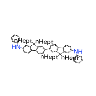 CCCCCCCC1(CCCCCCC)c2cc(Nc3ccccc3)ccc2-c2ccc(-c3ccc4c(c3)C(CCCCCCC)(CCCCCCC)c3cc(Nc5ccccc5)ccc3-4)cc21